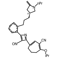 C=C1C[C@H](CCCc2ccccc2C2=C(N=O)C(C3=CC(C#N)=C(OC(C)C)CCC3)=N2)CN1CCC